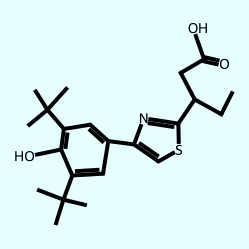 CCC(CC(=O)O)c1nc(-c2cc(C(C)(C)C)c(O)c(C(C)(C)C)c2)cs1